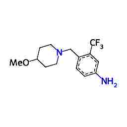 COC1CCN(Cc2ccc(N)cc2C(F)(F)F)CC1